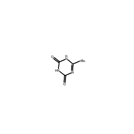 CCCCc1nc(=O)[nH]c(=O)[nH]1